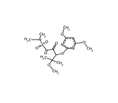 COc1cc(OC)nc(OC(C(=O)NS(=O)(=O)N(C)C)C(C)(C)OC)n1